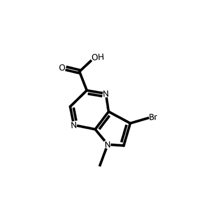 Cn1cc(Br)c2nc(C(=O)O)cnc21